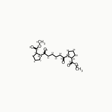 COC(=O)C1CCCN1C(=O)CCCCC(=O)N1CCCC1C(=O)OC